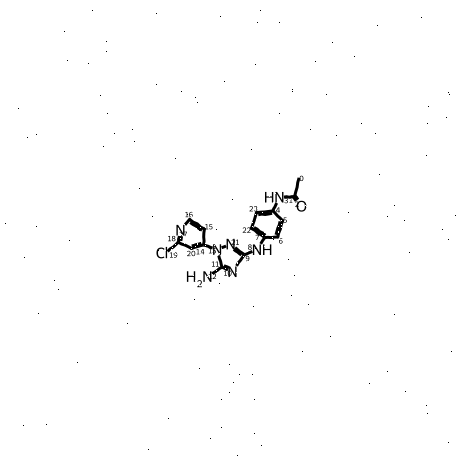 CC(=O)Nc1ccc(Nc2nc(N)n(-c3ccnc(Cl)c3)n2)cc1